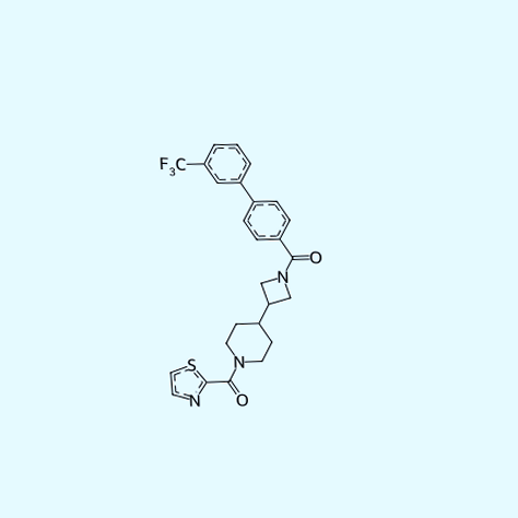 O=C(c1ccc(-c2cccc(C(F)(F)F)c2)cc1)N1CC(C2CCN(C(=O)c3nccs3)CC2)C1